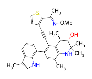 CON=C(C)c1sccc1C#Cc1c(-c2cccc3c(C)c[nH]c23)cc(C)c2c1[C@@H](C)[C@H](O)C(C)(C)N2